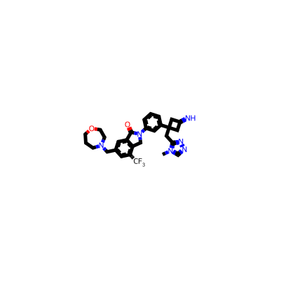 Cn1cnnc1CC1(c2cccc(N3Cc4c(cc(CN5CCCOCC5)cc4C(F)(F)F)C3=O)c2)CC(=N)C1